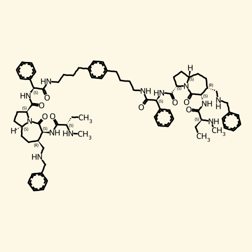 CC[C@H](NC)C(=O)N[C@@H]1C(=O)N2[C@@H](CC[C@@H]1CNCc1ccccc1)CC[C@H]2C(=O)N[C@H](C(=O)NCCCCc1ccc(CCCCNC(=O)[C@@H](NC(=O)[C@@H]2CC[C@@H]3CC[C@H](CNCc4ccccc4)[C@H](NC(=O)[C@H](CC)NC)C(=O)N32)c2ccccc2)cc1)c1ccccc1